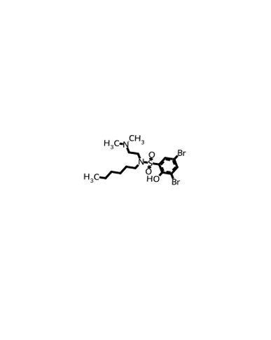 CCCCCCN(CCN(C)C)S(=O)(=O)c1cc(Br)cc(Br)c1O